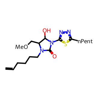 C=CCCCCN1C(=O)N(c2nnc(CCCCC)s2)C(O)C1COC